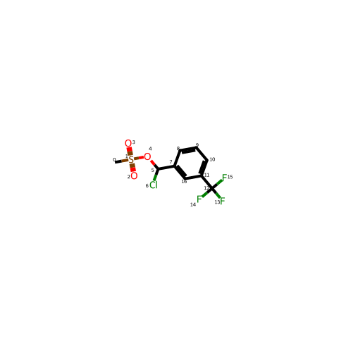 CS(=O)(=O)OC(Cl)c1cccc(C(F)(F)F)c1